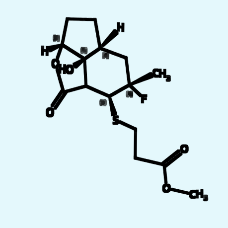 COC(=O)CCS[C@H]1C2C(=O)O[C@@H]3CC[C@H](C[C@]1(C)F)[C@]23O